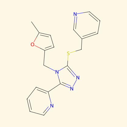 Cc1ccc(Cn2c(SCc3cccnc3)nnc2-c2ccccn2)o1